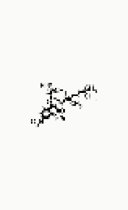 CCCCn1c(=O)c(OC/C=C(\C)CCC=C(C)C)c(OCC=C(C)C)c2ccc([N+](=O)[O-])cc21